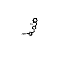 CC(=O)Nc1ncc(CN2CCC(Cc3ncccc3C#N)C2)s1